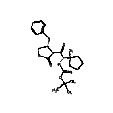 CC(C)(C)OC(=O)N[C@H](C(=O)N1C(=O)OC[C@@H]1Cc1ccccc1)C1(C)CCCC1